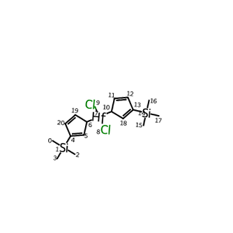 C[Si](C)(C)C1=C[CH]([Hf]([Cl])([Cl])[CH]2C=CC([Si](C)(C)C)=C2)C=C1